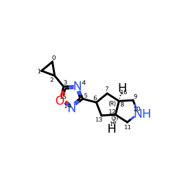 C1CC1c1nc(C2C[C@H]3CNC[C@H]3C2)no1